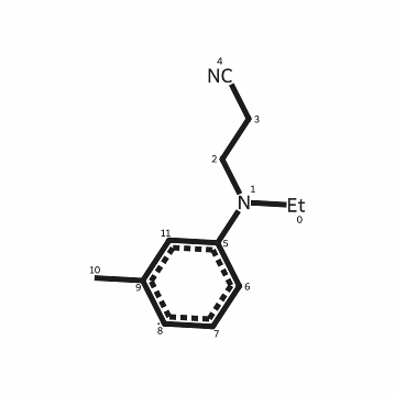 CCN(CCC#N)c1cc[c]c(C)c1